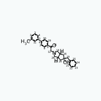 Cc1cccc(-c2ccc(C(=O)CN3C[C@@H]4C[C@@](O)(Cc5ccccc5)C[C@@H]4C3)cc2)c1